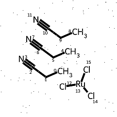 CCC#N.CCC#N.CCC#N.[Cl][Ru]([Cl])[Cl]